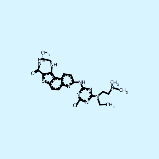 CCN(CCN(C)C)c1nc(Cl)nc(Nc2ccc3c(ccc4sc5c(c43)NC[C@@H](C)NC5=O)n2)n1